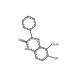 O=C(O)c1c(O)ccc2[nH]c(=O)c(-c3ccccc3)nc12